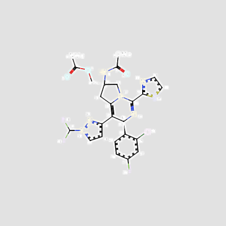 CNC(=O)OC[C@@]1(NC(=O)OC)CC2=C(c3ccn(C(F)F)n3)[C@H](c3ccc(F)cc3Cl)N=C(c3nccs3)N2C1